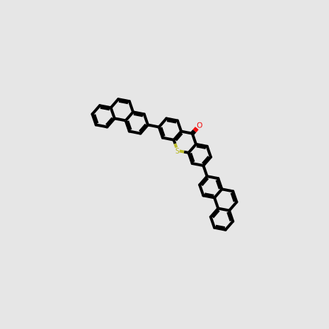 O=c1c2ccc(-c3ccc4c(ccc5ccccc54)c3)cc2sc2cc(-c3ccc4c(ccc5ccccc54)c3)ccc12